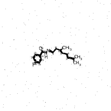 CC(C)=CCCC(C)CC=NNC(=O)c1ccc(F)cc1